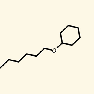 CCCCCCCO[C]1CC[CH]CC1